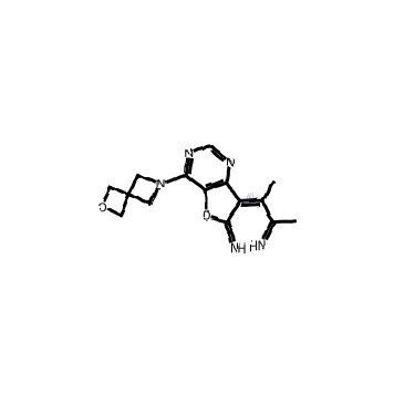 CC(=N)/C(C)=C1\C(=N)Oc2c1ncnc2N1CC2(COC2)C1